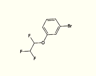 FC(F)C(F)Oc1cccc(Br)c1